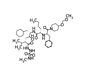 CCCC[C@H](NC(Cc1ccccc1)C(=O)N1CCC(OCOC)CC1)C(=O)N[C@@H](CC1CCCCC1)[C@@H](O)C[C@H](C(=O)NNS(=O)(=O)NC)C(C)C